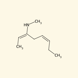 C/C=C(\C/C=C\CC)NC